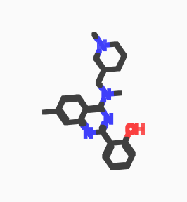 Cc1ccc2c(N(C)CC3CCCN(C)C3)nc(-c3ccccc3O)nc2c1